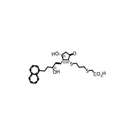 O=C(O)CSCCCS[C@H]1C(=O)C[C@@H](O)[C@@H]1C=C[C@@H](O)CCc1cccc2ccccc12